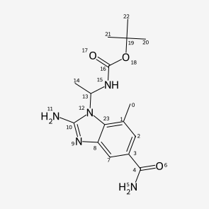 Cc1cc(C(N)=O)cc2nc(N)n(C(C)NC(=O)OC(C)(C)C)c12